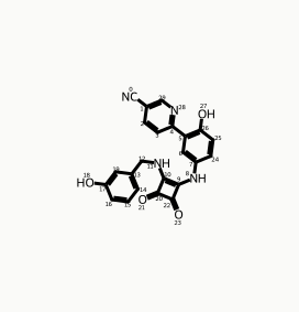 N#Cc1ccc(-c2cc(Nc3c(NCc4cccc(O)c4)c(=O)c3=O)ccc2O)nc1